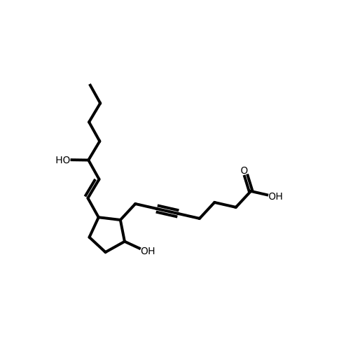 CCCCC(O)C=CC1CCC(O)C1CC#CCCCC(=O)O